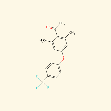 CC(=O)c1c(C)cc(Oc2ccc(C(F)(F)F)cc2)cc1C